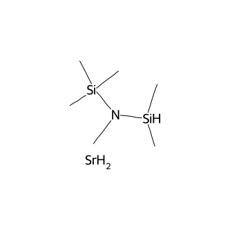 CN([SiH](C)C)[Si](C)(C)C.[SrH2]